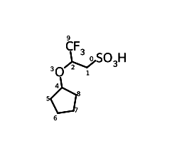 O=S(=O)(O)CC(OC1CCCC1)C(F)(F)F